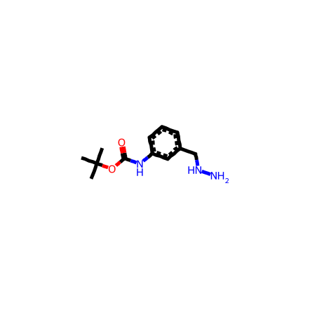 CC(C)(C)OC(=O)Nc1cccc(CNN)c1